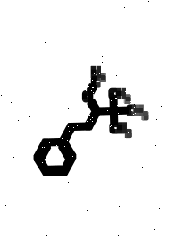 COC(CCc1ccccc1)C(C)(C)C